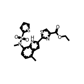 CCOC(=O)c1csc(-c2cc3c(C)ccc(N(C)S(=O)(=O)c4cccs4)c3[nH]2)n1